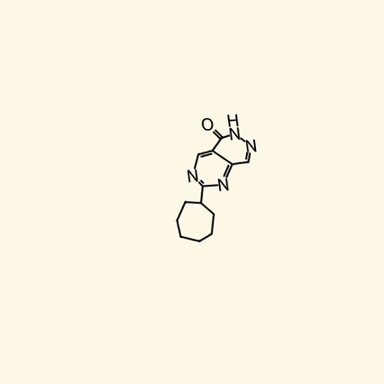 O=c1[nH]ncc2nc(C3CCCCCC3)ncc12